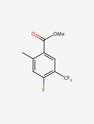 COC(=O)c1cc(C(F)(F)F)c(F)cc1C